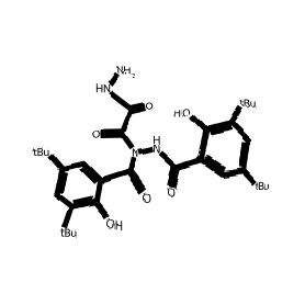 CC(C)(C)c1cc(C(=O)NN(C(=O)C(=O)NN)C(=O)c2cc(C(C)(C)C)cc(C(C)(C)C)c2O)c(O)c(C(C)(C)C)c1